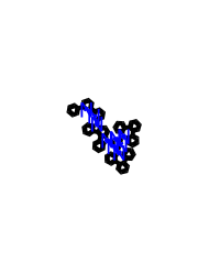 c1ccc(-c2cccc(-c3cccc(-n4c5ccccc5c5c6c7ccccc7n(-c7nc(N8c9ccccc9-c9ccccc9-c9ccccc98)nc(N8c9ccccc9-c9ccccc9-c9ccccc98)n7)c6ccc54)n3)n2)cc1